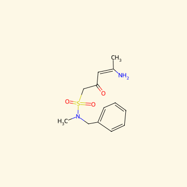 CC(N)=CC(=O)CS(=O)(=O)N(C)Cc1ccccc1